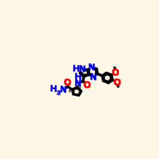 COc1ccc(-c2cnc3[nH]cc(C(=O)N[C@H]4CCC[C@H]4C(N)=O)c3n2)cc1OC